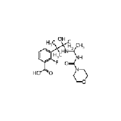 CC(NC(=O)N1CCOCC1)NC(C)(O)C(C)(C)c1cccc(C(=O)O)c1F